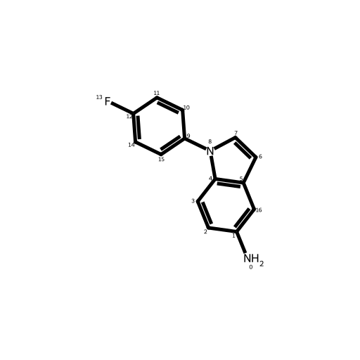 Nc1ccc2c(ccn2-c2ccc(F)cc2)c1